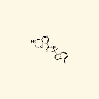 Cc1cccn2c(C(C)(C)NC(=O)c3cncc4c3OCCNC4)ncc12